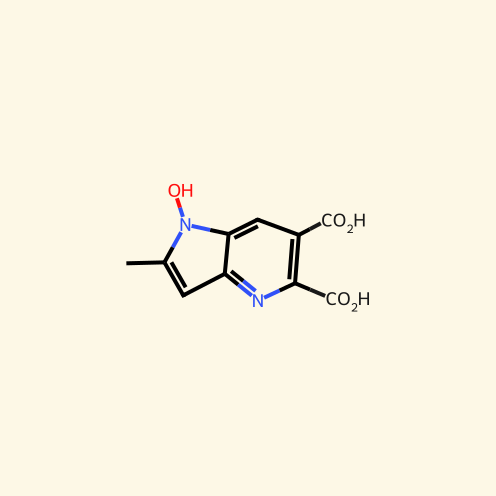 Cc1cc2nc(C(=O)O)c(C(=O)O)cc2n1O